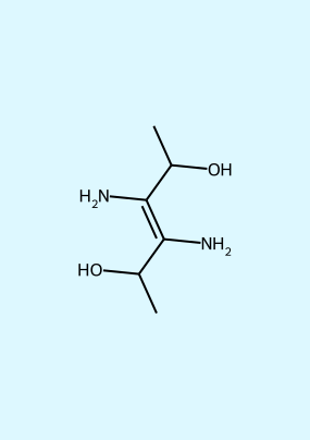 CC(O)/C(N)=C(\N)C(C)O